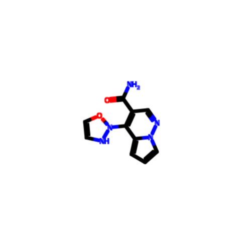 NC(=O)c1cnn2cccc2c1N1NC=CO1